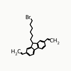 C=Cc1ccc2c(c1)C(CCCCCCBr)c1cc(C=C)ccc1-2